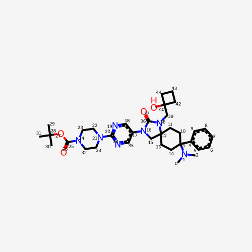 CN(C)C1(c2ccccc2)CCC2(CC1)CN(c1cnc(N3CCN(C(=O)OC(C)(C)C)CC3)nc1)C(=O)N2CC1(O)CCC1